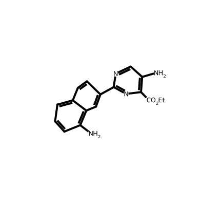 CCOC(=O)c1nc(-c2ccc3cccc(N)c3c2)ncc1N